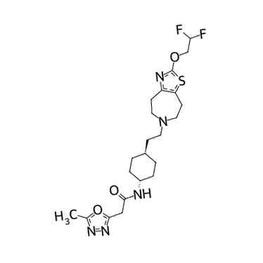 Cc1nnc(CC(=O)N[C@H]2CC[C@H](CCN3CCc4nc(OCC(F)F)sc4CC3)CC2)o1